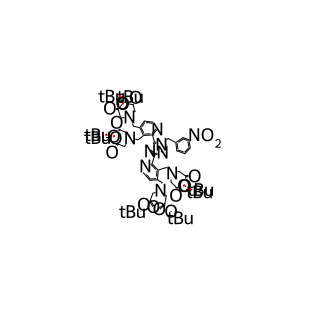 CC(C)(C)OC(=O)CN(CC(=O)OC(C)(C)C)Cc1ccnc(-c2nc(-c3nccc(CN(CC(=O)OC(C)(C)C)CC(=O)OC(C)(C)C)c3CN(CC(=O)OC(C)(C)C)CC(=O)OC(C)(C)C)n(Cc3cccc([N+](=O)[O-])c3)n2)c1CN(CC(=O)OC(C)(C)C)CC(=O)OC(C)(C)C